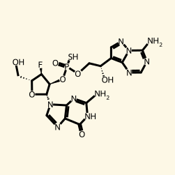 Nc1nc2c(ncn2[C@@H]2O[C@H](CO)[C@@H](F)[C@H]2OP(=O)(S)OC[C@@H](O)c2cnn3c(N)ncnc23)c(=O)[nH]1